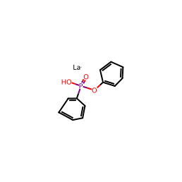 O=P(O)(Oc1ccccc1)c1ccccc1.[La]